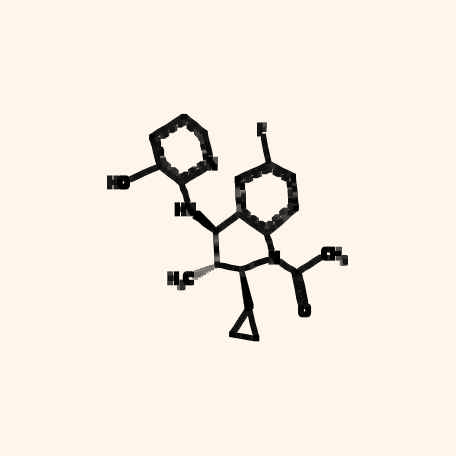 CC(=O)N1c2ccc(F)cc2[C@H](Nc2ncccc2O)[C@@H](C)[C@@H]1C1CC1